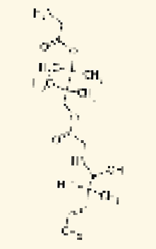 CC=CC(C)(C)C(O)NCC(=O)OCC(C)(C)C(C)(C)OC(=O)CN